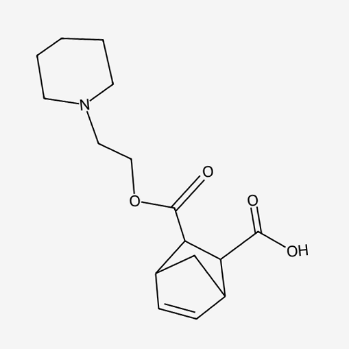 O=C(O)C1C2C=CC(C2)C1C(=O)OCCN1CCCCC1